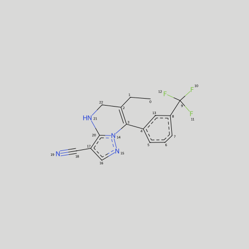 CCC1=C(c2cccc(C(F)(F)F)c2)n2ncc(C#N)c2NC1